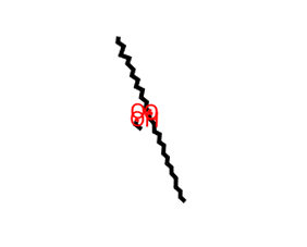 CCCCCCCCCCCCCCCCOC(=O)CCCCCCCCCCCCC.CCO